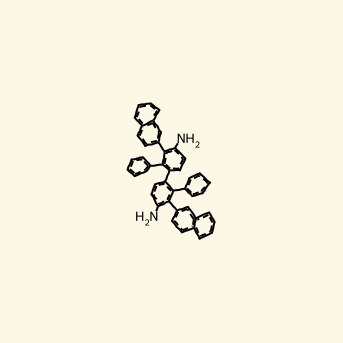 Nc1ccc(-c2ccc(N)c(-c3ccc4ccccc4c3)c2-c2ccccc2)c(-c2ccccc2)c1-c1ccc2ccccc2c1